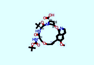 COc1cc2ccnc3c2cc1/C=C/COC[C@H](NC(=O)OC(C)(C)C)C(=O)N[C@@H](C(C)(C)C)C(=O)N1C[C@@H](C[C@H]1C(=O)O)O3